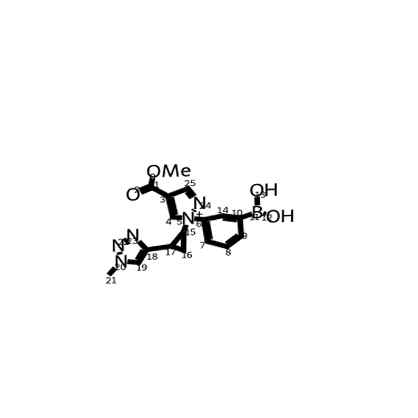 COC(=O)C1=C[N+](c2cccc(B(O)O)c2)(C2CC2c2cn(C)nn2)N=C1